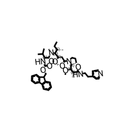 CC[C@H](C)[C@@H]([C@@H](CC(=O)N1CCC[C@@H]1[C@H](OC)[C@@H](C)C(=O)NCCc1ccncc1)OC)N(C)C(=O)[C@@H](NC(=O)OCC1c2ccccc2-c2ccccc21)C(C)C